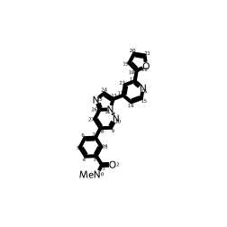 CNC(=O)c1cccc(-c2cnn3c(-c4ccnc(-c5ccco5)c4)cnc3c2)c1